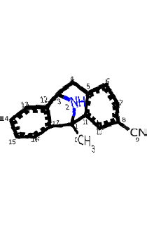 CC12NC(Cc3ccc(C#N)cc31)c1ccccc12